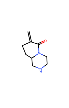 C=C1CCC2CNCCN2C1=O